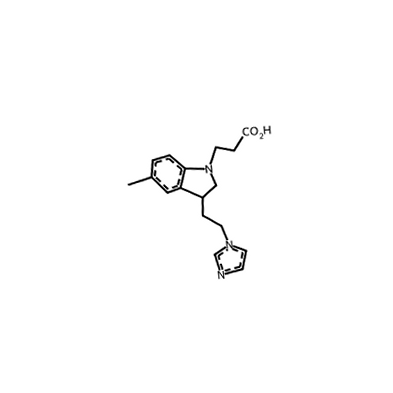 Cc1ccc2c(c1)C(CCn1ccnc1)CN2CCC(=O)O